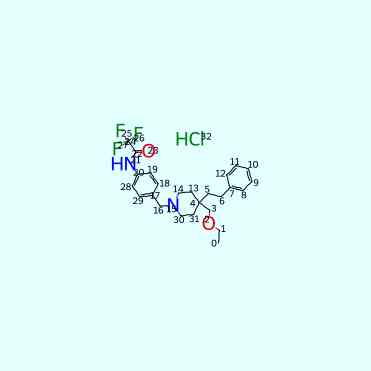 CCOCC1(CCc2ccccc2)CCN(Cc2ccc(NC(=O)C(F)(F)F)cc2)CC1.Cl